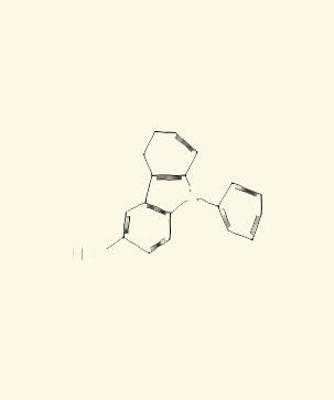 Cc1ccc2c(c1)c1c(n2-c2ccccc2)C=CCC1